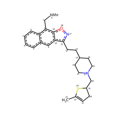 CNCc1c2ccccc2cc2c(CCC3CCN(CC4CC=C(C)S4)CC3)noc12